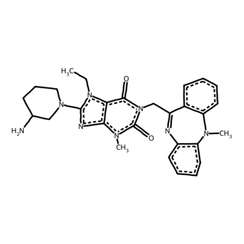 CCn1c(N2CCCC(N)C2)nc2c1c(=O)n(CC1=Nc3ccccc3N(C)c3ccccc31)c(=O)n2C